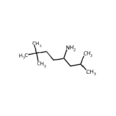 CC(C)CC(N)CCC(C)(C)C